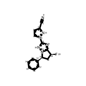 N#Cc1ccn(-c2nc3n(n2)[C@H](c2ccccc2)C[C@@H]3F)n1